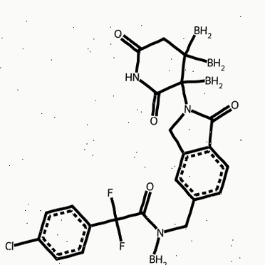 BN(Cc1ccc2c(c1)CN(C1(B)C(=O)NC(=O)CC1(B)B)C2=O)C(=O)C(F)(F)c1ccc(Cl)cc1